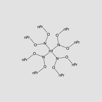 CCCO[N](OCCC)[Hf]([N](OCCC)OCCC)([N](OCCC)OCCC)[N](OCCC)OCCC